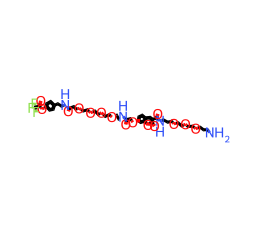 NCCCOCCOCCOCCCNC(=O)c1cc2ccc(OCC(=O)NCCOCCOCCOCCOCCC(=O)NCCc3ccc(OC(=O)C(F)(F)F)cc3)cc2oc1=O